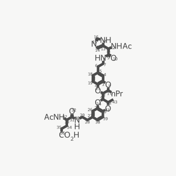 CCCC1Oc2cc(CCNC(=O)C(NC(C)=O)c3cnc[nH]3)ccc2OC1C1Oc2cc(CCNC(=O)C(CCC(=O)O)NC(C)=O)ccc2OC1C